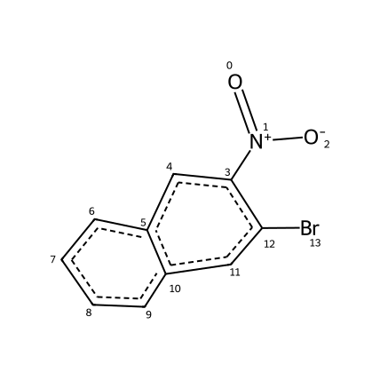 O=[N+]([O-])c1cc2ccccc2cc1Br